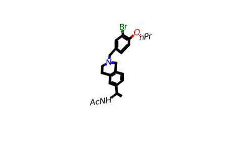 CCCOc1ccc(CN2CCc3cc(C(C)NC(C)=O)ccc3C2)cc1Br